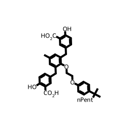 CCCCCC(C)(C)c1ccc(OCCOc2c(Cc3ccc(O)c(C(=O)O)c3)cc(C)cc2Cc2ccc(O)c(C(=O)O)c2)cc1